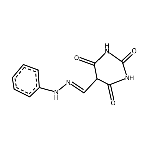 O=C1NC(=O)C(C=NNc2ccccc2)C(=O)N1